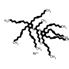 CCCCCC#CCCCc1cc(/N=C(CCCCC)/C(CCCCCC)=N/c2cc(CCCC#CCCCCC)c(CCCC#CCCCCC)c(CCCC#CCCCCC)c2CCCC#CCCCCC)c(CCCC#CCCCCC)c(CCCC#CCCCCC)c1CCCC#CCCCCC.[Ni+2]